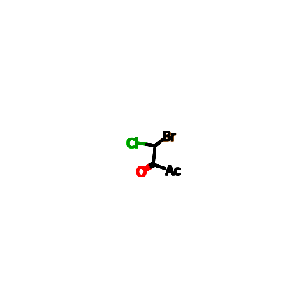 CC(=O)C(=O)C(Cl)Br